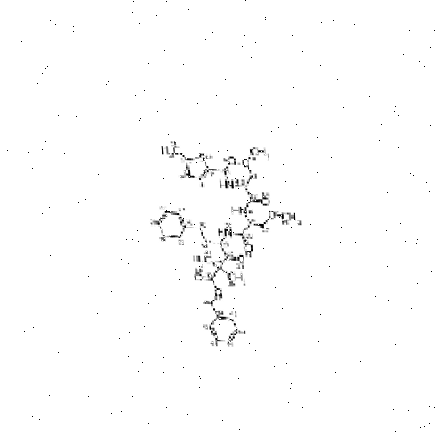 COC[C@H](NC(=O)c1cnc(C)s1)C(=O)N[C@@H](COC)C(=O)N[C@@H](CCc1ccccc1)C(=O)C(C)(C)C(=O)OCc1ccccc1